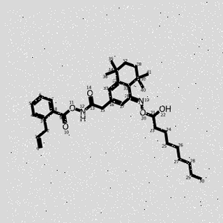 C=CCc1ccccc1C(=O)ONC(=O)CC1=CC(=NOC(O)CCCCCCCC)C2C(=C1)C(C)(C)CCC2(C)C